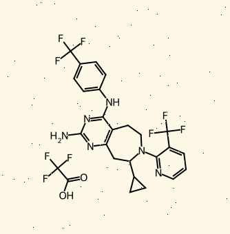 Nc1nc2c(c(Nc3ccc(C(F)(F)F)cc3)n1)CCN(c1ncccc1C(F)(F)F)C(C1CC1)C2.O=C(O)C(F)(F)F